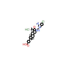 CC(C)C1=C2[C@H]3CC[C@@H]4[C@@]5(C)CC=C(c6ccc(C(=O)O)cc6)C(C)(C)[C@@H]5CC[C@@]4(C)[C@]3(C)CC[C@@]2(NCCN(CCN(C)C)Cc2ccc(Cl)cc2)CC1=O.Cl